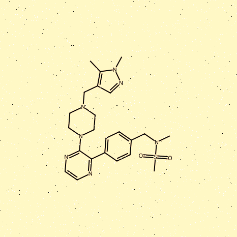 Cc1c(CN2CCN(c3nccnc3-c3ccc(CN(C)S(C)(=O)=O)cc3)CC2)cnn1C